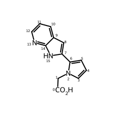 O=C(O)Cn1cccc1-c1cc2cccnc2[nH]1